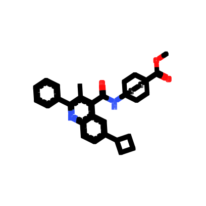 COC(=O)C12CCC(NC(=O)c3c(C)c(-c4ccccc4)nc4ccc(C5CCC5)cc34)(CC1)CC2